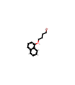 BrCCCCOc1cccc2ccccc12